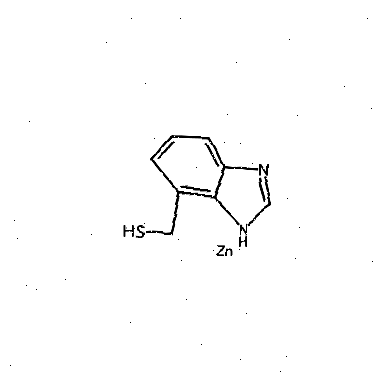 SCc1cccc2nc[nH]c12.[Zn]